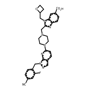 N#Cc1ccc(Cn2ncc3ccc(N4CCN(Cc5nc6ccc(C(=O)O)cc6n5CC5CCO5)CC4)nc32)c(F)c1